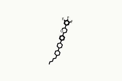 CCCCCC1CCC(C2CCC(c3ccc(C4CCC(c5cc(F)c(F)c(F)c5)CO4)cc3)CC2)CC1